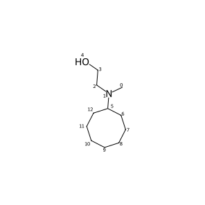 CN(CCO)C1CCCCCCC1